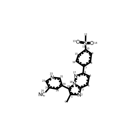 Cc1nc2ccc(-c3ccc(S(C)(=O)=O)cc3)nn2c1-c1cncc(C#N)c1